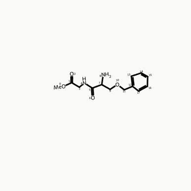 COC(=O)CNC(=O)C(N)COCc1ccccc1